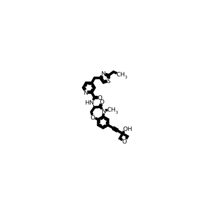 CCc1nc(Cc2ccnc(C(=O)N[C@H]3COc4ccc(C#CC5(O)COC5)cc4N(C)C3=O)c2)cs1